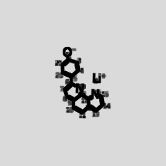 [Li+].[O-]c1ccc(-c2ccc3ccc4cccnc4c3n2)cc1